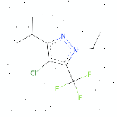 CCn1nc(C(C)C)c(Cl)c1C(F)(F)F